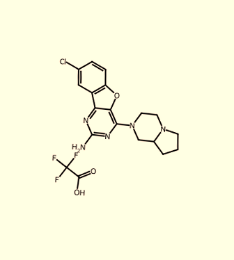 Nc1nc(N2CCN3CCCC3C2)c2oc3ccc(Cl)cc3c2n1.O=C(O)C(F)(F)F